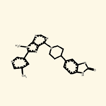 Cc1cncc(-c2nc3c(N4CCC(c5ccc6c(c5)[N]C(=O)N6)CC4)ncnc3n2C)c1